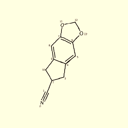 N#CC1Cc2cc3c(cc2C1)OCO3